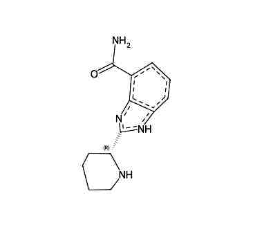 NC(=O)c1cccc2[nH]c([C@H]3CCCCN3)nc12